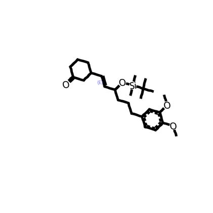 COc1ccc(CCCC(/C=C/C2CCCC(=O)C2)O[Si](C)(C)C(C)(C)C)cc1OC